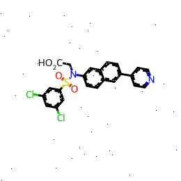 O=C(O)CN(c1ccc2cc(-c3ccncc3)ccc2c1)S(=O)(=O)c1cc(Cl)cc(Cl)c1